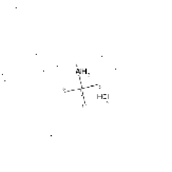 C[C](C)(C)[AlH2].Cl